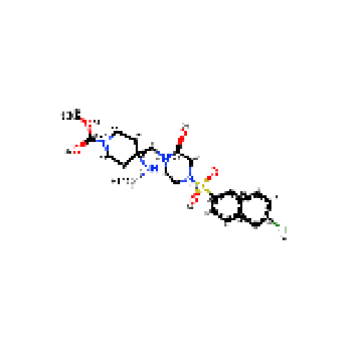 CCOC(=O)NC1(CN2CCN(S(=O)(=O)c3ccc4cc(Cl)ccc4c3)CC2=O)CCN(C(=O)OC(C)(C)C)CC1